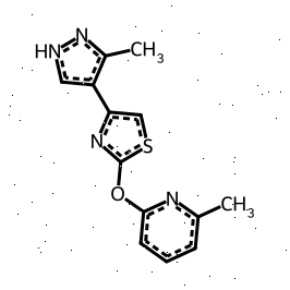 Cc1cccc(Oc2nc(-c3c[nH]nc3C)cs2)n1